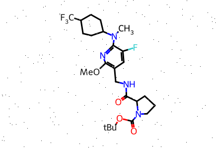 COc1nc(N(C)C2CCC(C(F)(F)F)CC2)c(F)cc1CNC(=O)C1CCCN1C(=O)OC(C)(C)C